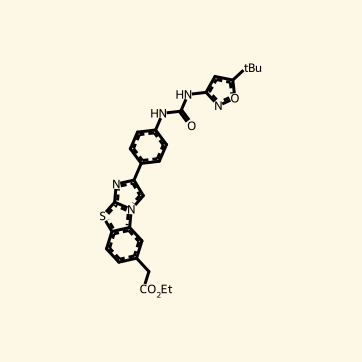 CCOC(=O)Cc1ccc2sc3nc(-c4ccc(NC(=O)Nc5cc(C(C)(C)C)on5)cc4)cn3c2c1